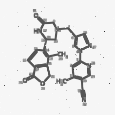 Cc1cc(-n2cc(CN3CC(=O)N[C@H](c4ccc5c(c4C)COC5=O)C3)cn2)ncc1C#N